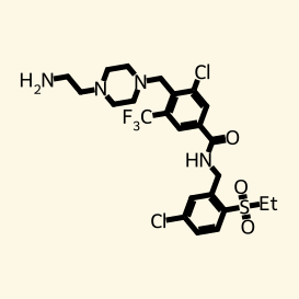 CCS(=O)(=O)c1ccc(Cl)cc1CNC(=O)c1cc(Cl)c(CN2CCN(CCN)CC2)c(C(F)(F)F)c1